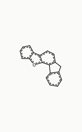 [c]1cccc2c1oc1c3c(ccc12)Cc1ccccc1-3